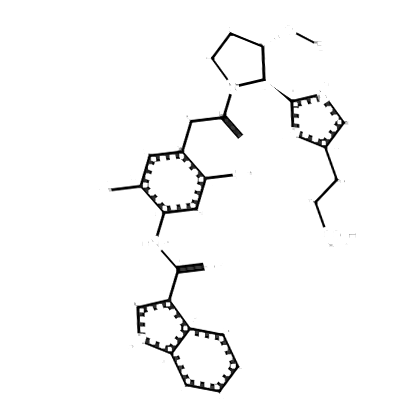 CCO[C@H]1CCN(C(=O)Cc2cc(Cl)c(NC(=O)c3csc4ccccc34)cc2F)[C@@H]1c1ncc(CCC(=O)O)s1